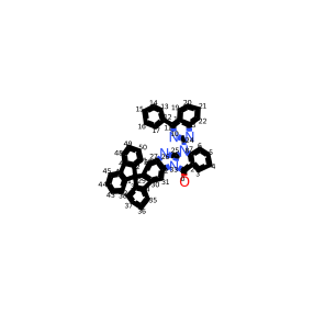 O=c1c2ccccc2n(-c2nc(-c3ccccc3)c3ccccc3n2)c2nc3cc4c(cc3n12)-c1ccccc1C41c2ccccc2-c2ccccc21